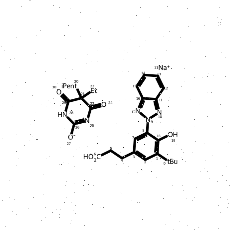 CC(C)(C)c1cc(CCC(=O)O)cc(-n2nc3ccccc3n2)c1O.CCCC(C)C1(CC)C(=O)N=C([O-])NC1=O.[Na+]